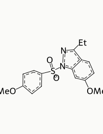 CCc1nn(S(=O)(=O)c2ccc(OC)cc2)c2cc(OC)ccc12